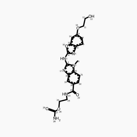 Cn1c(Nc2nc3ccc(OCCO)cc3o2)nc2cc(C(=O)NCCOC(N)=O)ccc21